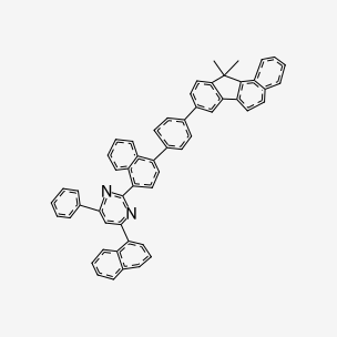 CC1(C)c2ccc(-c3ccc(-c4ccc(-c5nc(-c6ccccc6)cc(-c6cccc7ccccc67)n5)c5ccccc45)cc3)cc2-c2ccc3ccccc3c21